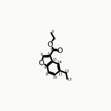 CCOC(=O)c1coc2ccc(CC)cc12